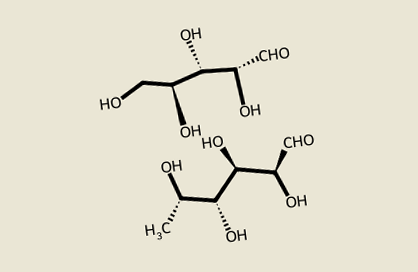 C[C@H](O)[C@@H](O)[C@@H](O)[C@H](O)C=O.O=C[C@H](O)[C@@H](O)[C@@H](O)CO